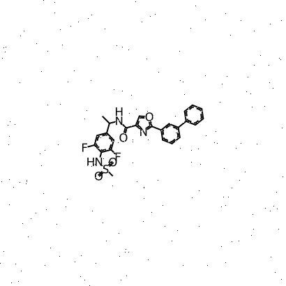 CC(NC(=O)c1coc(-c2cccc(-c3ccccc3)c2)n1)c1cc(F)c(NS(C)(=O)=O)c(F)c1